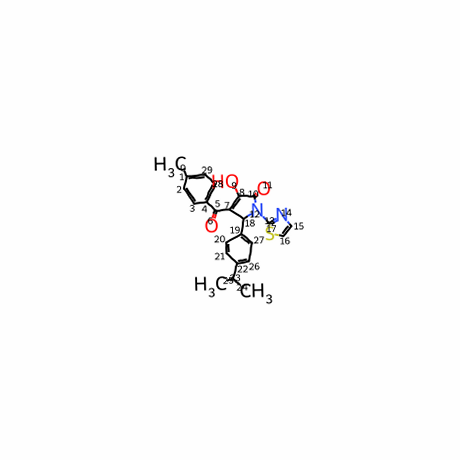 Cc1ccc(C(=O)C2=C(O)C(=O)N(c3nccs3)C2c2ccc(C(C)C)cc2)cc1